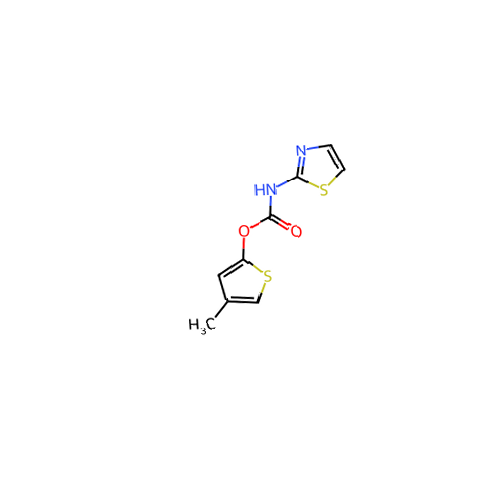 Cc1csc(OC(=O)Nc2nccs2)c1